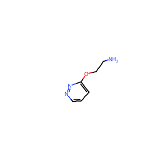 NCCOc1cccnn1